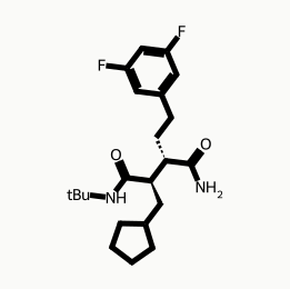 CC(C)(C)NC(=O)[C@H](CC1CCCC1)[C@H](CCc1cc(F)cc(F)c1)C(N)=O